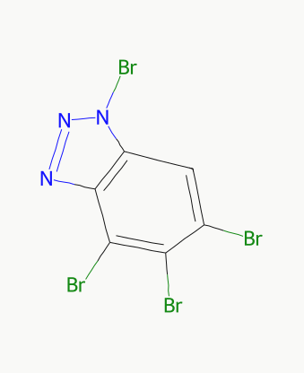 Brc1cc2c(nnn2Br)c(Br)c1Br